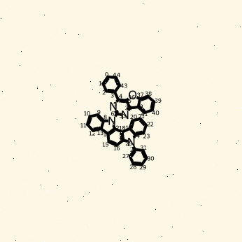 c1ccc(-c2nc(-n3c4ccccc4c4ccc5c(c6ccccc6n5-c5ccccc5)c43)nc3c2oc2ccccc23)cc1